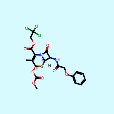 COC(=O)O[C@@H]1S[C@@H]2C(NC(=O)COc3ccccc3)C(=O)N2C(C(=O)OCC(Cl)(Cl)Cl)=C1C